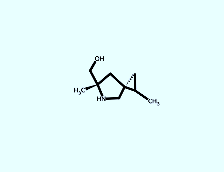 CC1C[C@@]12CN[C@](C)(CO)C2